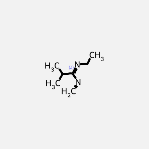 C=N/C(=N\CC)C(C)C